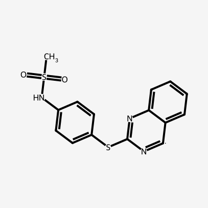 CS(=O)(=O)Nc1ccc(Sc2n[c]c3ccccc3n2)cc1